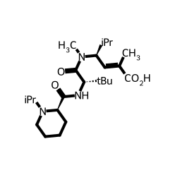 CC(=C[C@H](C(C)C)N(C)C(=O)[C@@H](NC(=O)[C@H]1CCCCN1C(C)C)C(C)(C)C)C(=O)O